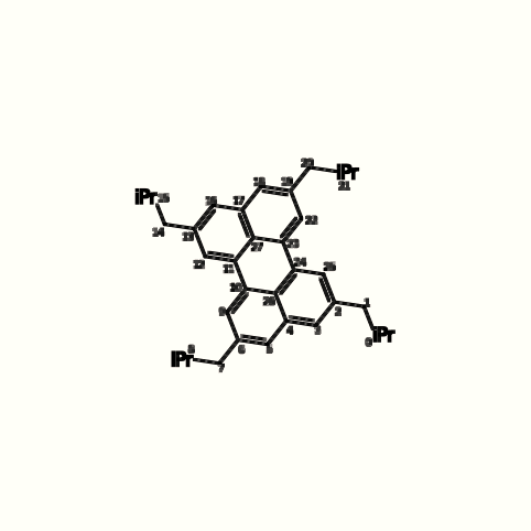 CC(C)Cc1cc2cc(CC(C)C)cc3c4cc(CC(C)C)cc5cc(CC(C)C)cc(c(c1)c23)c54